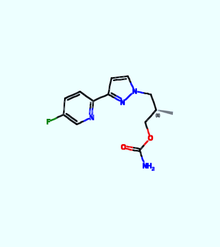 C[C@H](COC(N)=O)Cn1ccc(-c2ccc(F)cn2)n1